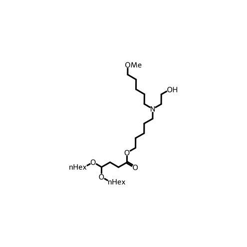 CCCCCCOC(CCC(=O)OCCCCCN(CCO)CCCCCOC)OCCCCCC